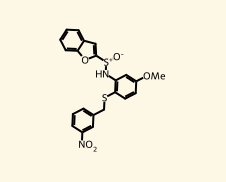 COc1ccc(SCc2cccc([N+](=O)[O-])c2)c(N[S+]([O-])c2cc3ccccc3o2)c1